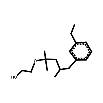 CCc1cccc(CC(C)CC(C)(C)OCCO)c1